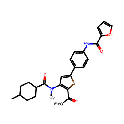 COC(=O)c1sc(-c2ccc(NC(=O)c3ccco3)cc2)cc1N(C(=O)C1CCC(C)CC1)C(C)C